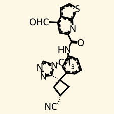 Cn1cnnc1[C@]1(c2cccc(NC(=O)c3cc(C=O)c4ccsc4n3)c2)C[C@H](CC#N)C1